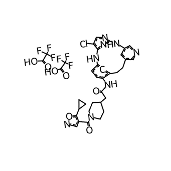 O=C(CC1CCN(C(=O)c2cnoc2C2CC2)CC1)Nc1ccc2cc1CCc1cncc(c1)Nc1ncc(Cl)c(n1)N2.O=C(O)C(F)(F)F.O=C(O)C(F)(F)F